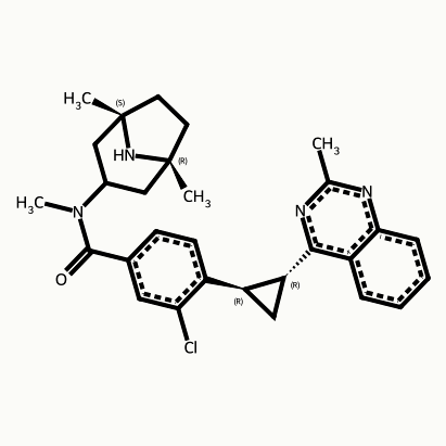 Cc1nc([C@@H]2C[C@H]2c2ccc(C(=O)N(C)C3C[C@]4(C)CC[C@](C)(C3)N4)cc2Cl)c2ccccc2n1